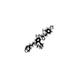 Cn1nccc1-c1cc(NC(=O)NCc2ccc(Cl)cc2)ccc1OCCCN1CCOCC1